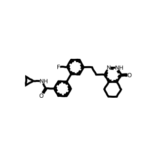 O=C(NC1CC1)c1cccc(-c2cc(CCc3n[nH]c(=O)c4c3CCCC4)ccc2F)c1